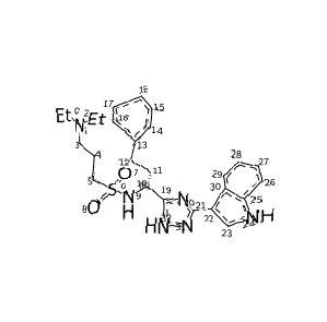 CCN(CC)CCCS(=O)(=O)N[C@H](CCc1ccccc1)c1nc(-c2c[nH]c3ccccc23)n[nH]1